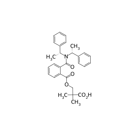 C[C@H](c1ccccc1)N(C(=O)c1ccccc1C(=O)OCC(C)(C)C(=O)O)[C@H](C)c1ccccc1